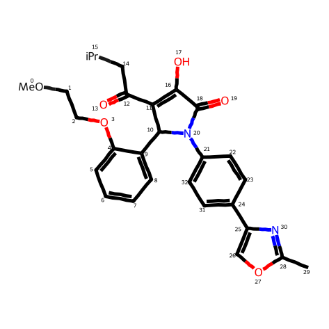 COCCOc1ccccc1C1C(C(=O)CC(C)C)=C(O)C(=O)N1c1ccc(-c2coc(C)n2)cc1